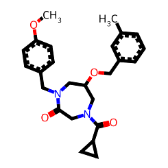 COc1ccc(CN2CC(OCc3cccc(C)c3)CN(C(=O)C3CC3)CC2=O)cc1